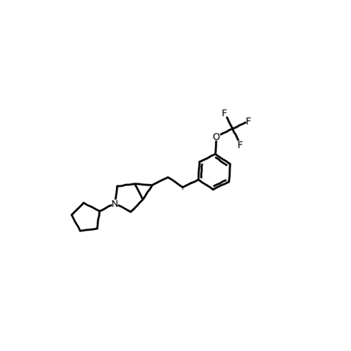 FC(F)(F)Oc1cccc([CH]CC2C3CN(C4CCCC4)CC23)c1